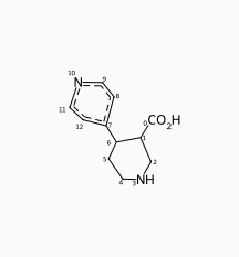 O=C(O)C1CNCCC1c1ccncc1